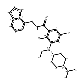 CCN(c1cc(Cl)cc(C(=O)NCc2cccc3ccnn23)c1C)[C@H]1CC[C@H](N(C)C)CC1